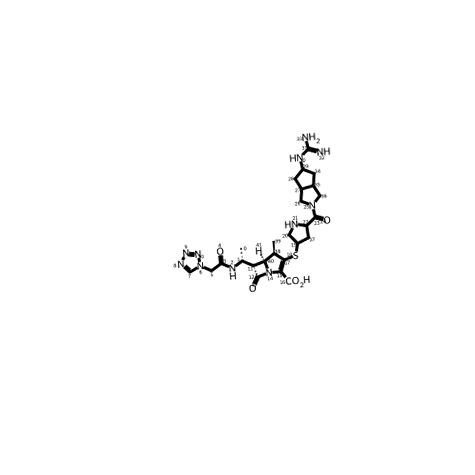 C[C@@H](NC(=O)Cn1cnnn1)[C@H]1C(=O)N2C(C(=O)O)=C(SC3CNC(C(=O)N4CC5CC(NC(=N)N)CC5C4)C3)[C@H](C)[C@H]12